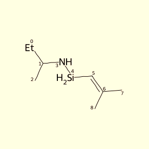 CCC(C)N[SiH2]C=C(C)C